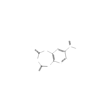 O=C1OC(=O)Oc2ncc([N+](=O)[O-])cc2O1